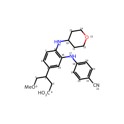 COCC(CC(=O)O)c1ccc(NC2CCOCC2)c(Nc2ccc(C#N)cc2)c1